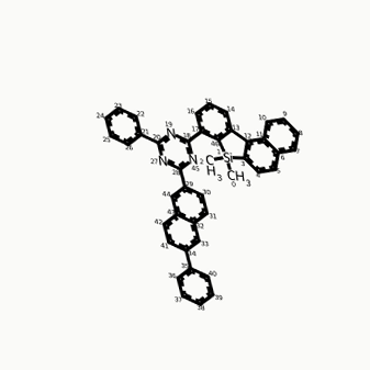 C[Si]1(C)c2ccc3ccccc3c2-c2cccc(-c3nc(-c4ccccc4)nc(-c4ccc5cc(-c6ccccc6)ccc5c4)n3)c21